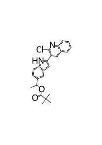 CC(OC(=O)C(C)(C)C)c1ccc2[nH]c(-c3cc4ccccc4nc3Cl)cc2c1